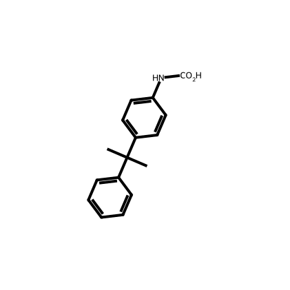 CC(C)(c1ccccc1)c1ccc(NC(=O)O)cc1